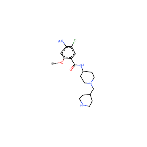 CCOc1cc(N)c(Cl)cc1C(=O)NC1CCN(CC2CCNCC2)CC1